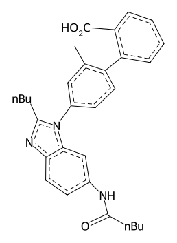 CCCCC(=O)Nc1ccc2nc(CCCC)n(-c3ccc(-c4ccccc4C(=O)O)c(C)c3)c2c1